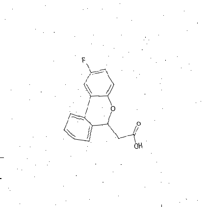 O=C(O)CC1Oc2ccc(F)cc2-c2ccccc21